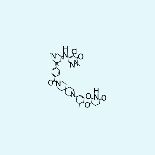 Cc1cc(N2CCC3(CCN(C(=O)c4ccc([C@H]5C[C@@H](Nc6cnn(C)c(=O)c6Cl)CN(C)C5)cc4)CC3)CC2)ccc1OC1CCC(=O)NC1=O